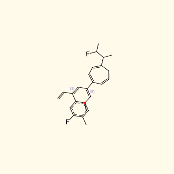 C=C/C(=C/C(=C\CC)C1=CC=C(C(C)C(C)F)CC=C1)c1ccc(C)c(F)c1